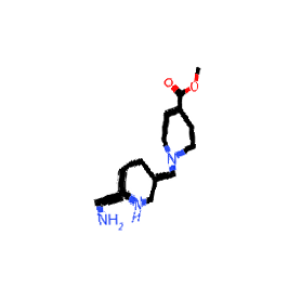 COC(=O)C1CCN(/C=C2\CC/C(=C/N)NC2)CC1